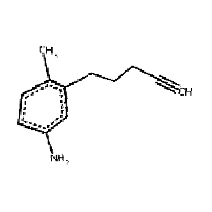 C#CCCCc1cc(N)ccc1C